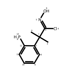 CC(C)(/C(Cl)=N/O)c1ccccc1P